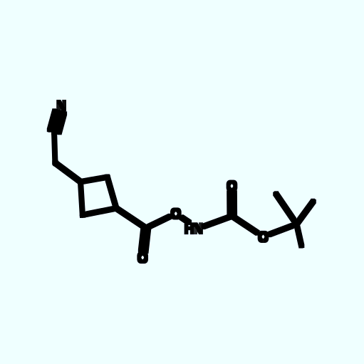 CC(C)(C)OC(=O)NOC(=O)C1CC(CC#N)C1